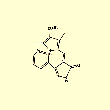 CCOC(=O)c1c(C)[nH]c(/C=C2/C(=O)NN=C2c2cccnc2)c1C